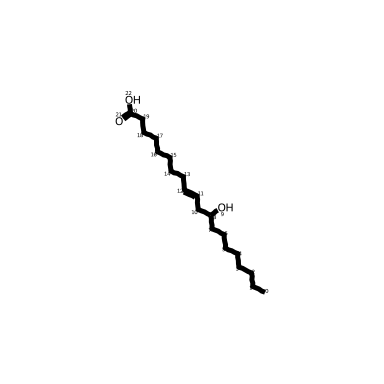 CCCCCCCCC(O)CC=CCCCCCCCC(=O)O